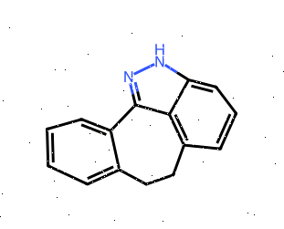 c1ccc2c(c1)CCc1cccc3[nH]nc-2c13